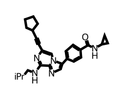 CC(C)CNc1nc(C#CC2CCCC2)cn2c(-c3ccc(C(=O)NC4CC4)cc3)cnc12